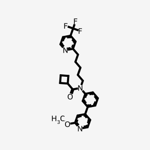 COc1cc(-c2cccc(N(CCCCCc3cc(C(F)(F)F)ccn3)C(=O)C3CCC3)c2)ccn1